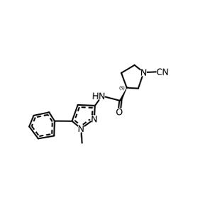 Cn1nc(NC(=O)[C@H]2CCN(C#N)C2)cc1-c1ccccc1